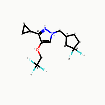 FC(F)(F)COc1cn(CC2CCC(F)(F)C2)nc1C1CC1